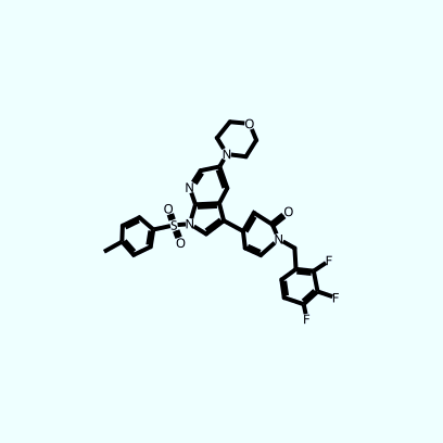 Cc1ccc(S(=O)(=O)n2cc(-c3ccn(Cc4ccc(F)c(F)c4F)c(=O)c3)c3cc(N4CCOCC4)cnc32)cc1